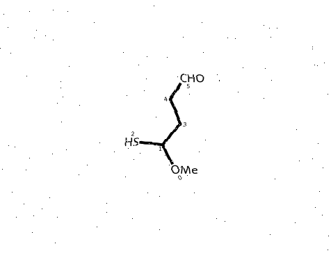 COC(S)CCC=O